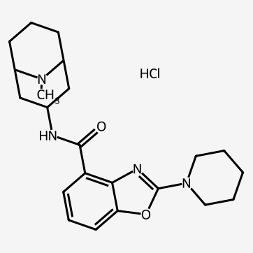 CN1C2CCCC1CC(NC(=O)c1cccc3oc(N4CCCCC4)nc13)C2.Cl